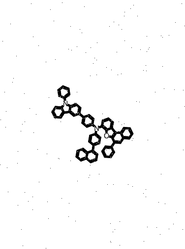 c1ccc(-c2cc3ccccc3c3c2oc2c(N(c4ccc(-c5ccc6c(c5)c5ccccc5n6-c5ccccc5)cc4)c4ccc(-c5cccc6ccccc56)cc4)cccc23)cc1